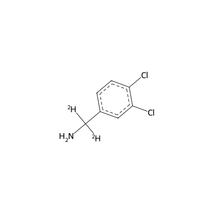 [2H]C([2H])(N)c1ccc(Cl)c(Cl)c1